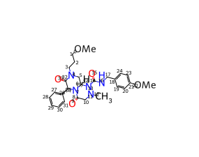 COCCCN1C[C@H]2N(C(=O)CN(C)N2C(=O)NCc2ccc(OC)cc2)[C@@H](c2ccccc2)C1=O